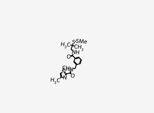 CSSC(C)(C)CNC(=O)c1cccc(CNC(=O)c2nc(C)cn2C)c1